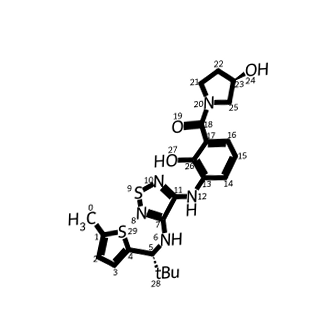 Cc1ccc([C@H](Nc2nsnc2Nc2cccc(C(=O)N3CC[C@@H](O)C3)c2O)C(C)(C)C)s1